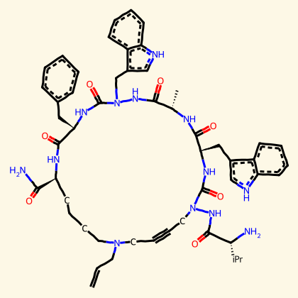 C=CCN1CC#CCN(NC(=O)[C@H](N)C(C)C)C(=O)N[C@H](Cc2c[nH]c3ccccc23)C(=O)N[C@@H](C)C(=O)NN(Cc2c[nH]c3ccccc23)C(=O)N[C@H](Cc2ccccc2)C(=O)N[C@H](C(N)=O)CCCC1